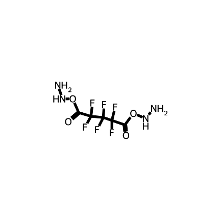 NNOC(=O)C(F)(F)C(F)(F)C(F)(F)C(=O)ONN